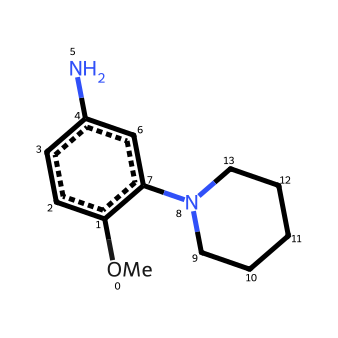 COc1ccc(N)cc1N1CCCCC1